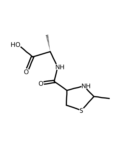 CC1NC(C(=O)N[C@@H](C)C(=O)O)CS1